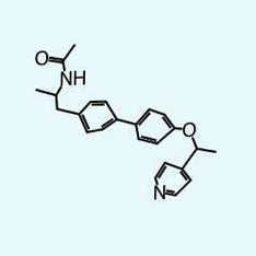 CC(=O)NC(C)Cc1ccc(-c2ccc(OC(C)c3ccncc3)cc2)cc1